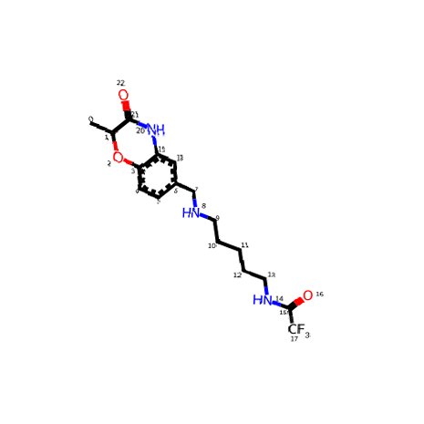 CC1Oc2ccc(CNCCCCCNC(=O)C(F)(F)F)cc2NC1=O